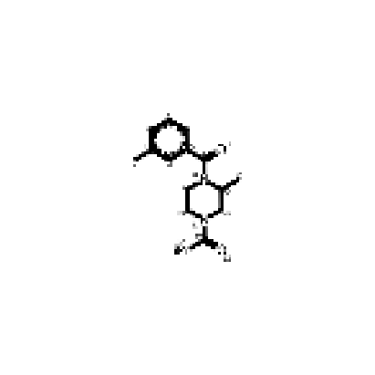 Cc1cccc(C(=O)N2CCN(C(=O)C(C)C)CC2C)c1